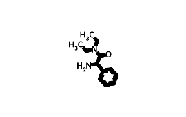 CCN(CC)C(=O)C(N)c1ccccc1